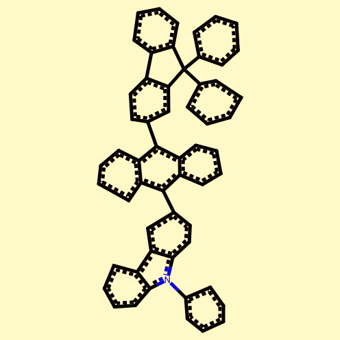 c1ccc(-n2c3ccccc3c3cc(-c4c5ccccc5c(-c5ccc6c(c5)C(c5ccccc5)(c5ccccc5)c5ccccc5-6)c5ccccc45)ccc32)cc1